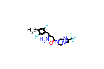 Bc1cc(F)c(C[C@@H](N)CC(=O)N2CCn3cc(C(F)(F)F)nc3C2)cc1F